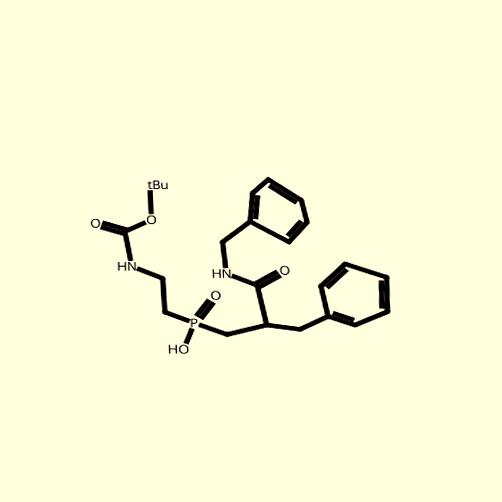 CC(C)(C)OC(=O)NCCP(=O)(O)CC(Cc1ccccc1)C(=O)NCc1ccccc1